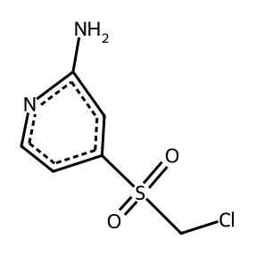 Nc1cc(S(=O)(=O)CCl)ccn1